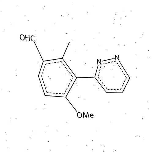 COc1ccc(C=O)c(C)c1-c1cccnn1